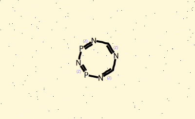 C1=N\C=N/P=N\P=N/1